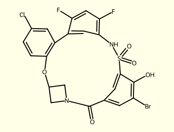 O=C1c2cc(Br)c(O)c(c2)S(=O)(=O)Nc2cc(c(F)cc2F)-c2cc(Cl)ccc2OC2CN1C2